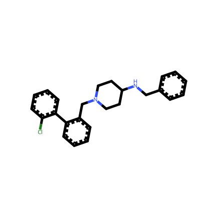 Clc1ccccc1-c1ccccc1CN1CCC(NCc2ccccc2)CC1